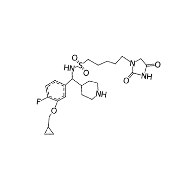 O=C1CN(CCCCCS(=O)(=O)NC(c2ccc(F)c(OCC3CC3)c2)C2CCNCC2)C(=O)N1